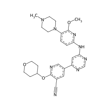 COc1nc(Nc2cc(-c3cnc(OC4CCOCC4)c(C#N)c3)ncn2)ccc1N1CCN(C)CC1